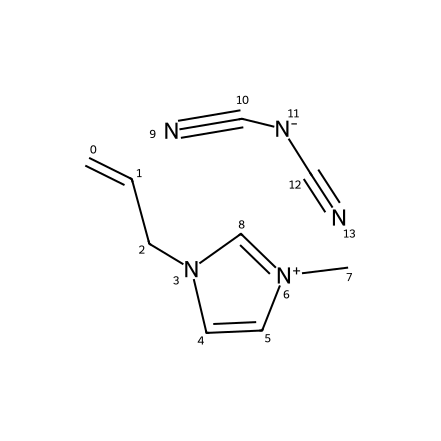 C=CCn1cc[n+](C)c1.N#C[N-]C#N